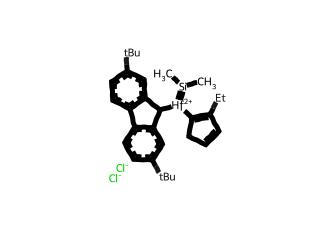 CCC1=[C]([Hf+2]([CH]2c3cc(C(C)(C)C)ccc3-c3ccc(C(C)(C)C)cc32)=[Si](C)C)CC=C1.[Cl-].[Cl-]